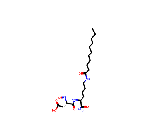 CCCCCCCCCCC(=O)NCCCC[C@H](NC(=O)[C@H](CC(=O)O)N=O)C(N)=O